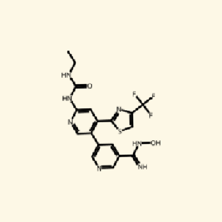 CCNC(=O)Nc1cc(-c2nc(C(F)(F)F)cs2)c(-c2cncc(C(=N)NO)c2)cn1